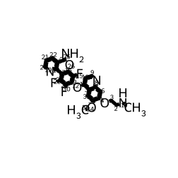 CNCCOc1cc2nccc(Oc3c(F)cc(-c4ncccc4C(N)=O)c(F)c3F)c2cc1OC